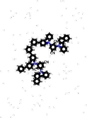 N#Cc1cc(-n2c3ccccc3c3cc(-c4cccc(-c5cccc(-c6ccc7c(c6)c6cc(-c8ccccc8)ccc6n7-c6cc(C#N)cc(-n7c8ccccc8c8c9ccccc9ccc87)c6C#N)c5)c4)ccc32)c(C#N)c(-n2c3ccccc3c3c4ccccc4ccc32)c1